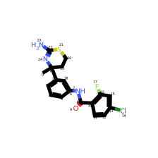 CC1(c2cccc(NC(=O)c3ccc(Cl)cc3F)c2)CCSC(N)=N1